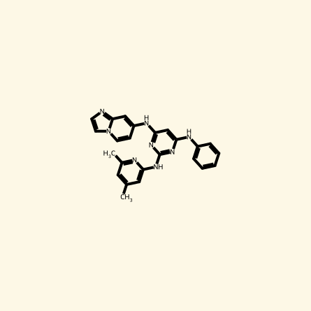 Cc1cc(C)nc(Nc2nc(Nc3ccccc3)cc(Nc3ccn4ccnc4c3)n2)c1